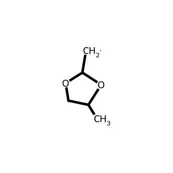 [CH2]C1OCC(C)O1